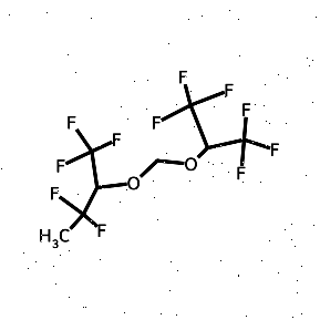 CC(F)(F)C(OCOC(C(F)(F)F)C(F)(F)F)C(F)(F)F